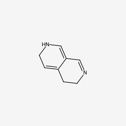 C1=NCCC2=CCNC=C12